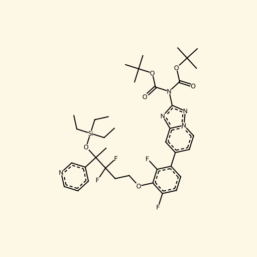 CC[Si](CC)(CC)OC(C)(c1cccnc1)C(F)(F)CCOc1c(F)ccc(-c2ccn3nc(N(C(=O)OC(C)(C)C)C(=O)OC(C)(C)C)nc3c2)c1F